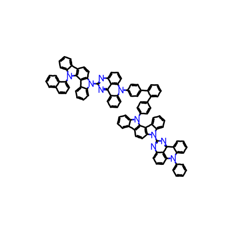 c1ccc(N2c3ccccc3-c3nc(-n4c5ccccc5c5c4ccc4c6ccccc6n(-c6ccc(-c7ccccc7-c7ccc(N8c9ccccc9-c9nc(-n%10c%11ccccc%11c%11c%10ccc%10c%12ccccc%12n(-c%12cccc%13ccccc%12%13)c%10%11)nc%10cccc8c9%10)cc7)cc6)c45)nc4cccc2c34)cc1